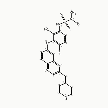 CCN(C)S(=O)(=O)Nc1ccc(F)c(Oc2ccc3ncc(CC4CCNCC4)nc3c2)c1C#N